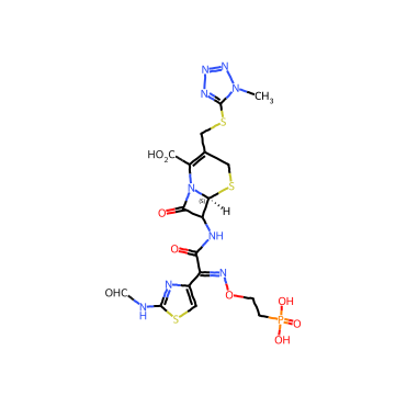 Cn1nnnc1SCC1=C(C(=O)O)N2C(=O)C(NC(=O)C(=NOCCP(=O)(O)O)c3csc(NC=O)n3)[C@@H]2SC1